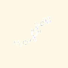 O=C(/C=C/c1ccc(OC(F)(F)F)cc1)N1CC[C@@H]2CN(C(=O)c3ccc4[nH]c(=O)oc4c3)C[C@@H]2CC1